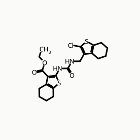 CCOC(=O)c1c(NC(=O)NCc2c(Cl)sc3c2CCCC3)sc2c1CCCC2